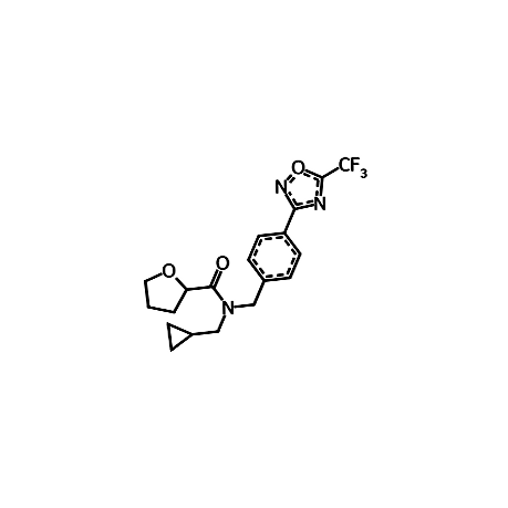 O=C(C1CCCO1)N(Cc1ccc(-c2noc(C(F)(F)F)n2)cc1)CC1CC1